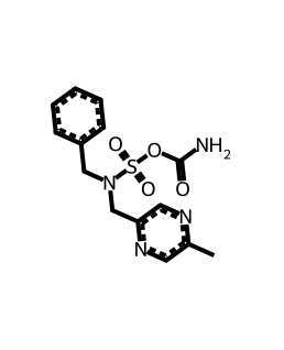 Cc1cnc(CN(Cc2ccccc2)S(=O)(=O)OC(N)=O)cn1